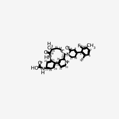 Cc1ccc(F)c(C2=CC(=O)N([C@H]3CCC[C@@H](C)C(=O)Nc4cc(NC(=O)O)ccc4-c4ccnc3c4)CC2)c1F